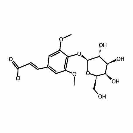 COc1cc(/C=C/C(=O)Cl)cc(OC)c1O[C@@H]1O[C@H](CO)[C@H](O)[C@H](O)[C@H]1O